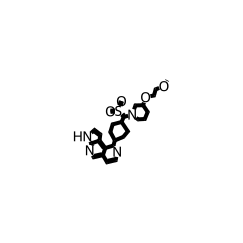 COCCOC1CCCN(C(C2CCC(c3nccc4cnc5[nH]ccc5c34)CC2)=S(=O)=O)C1